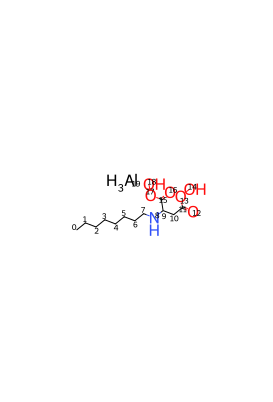 CCCCCCCCNC(CC(=O)OO)C(=O)OO.[AlH3]